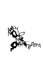 CCCCCNCC1(O)CN(C(=O)c2cc3c(cc2Nc2ccc(I)cc2F)nnn3C)C1